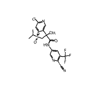 CC(C)S(=O)(=O)CC(O)(C(=O)Nc1cnc(C#N)c(C(F)(F)F)c1)c1ccc(Cl)nc1